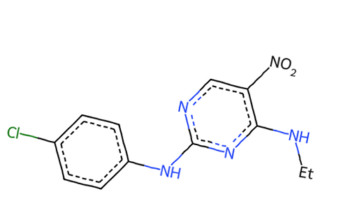 CCNc1nc(Nc2ccc(Cl)cc2)ncc1[N+](=O)[O-]